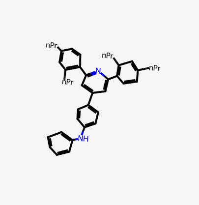 CCCc1ccc(-c2cc(-c3ccc(Nc4ccccc4)cc3)cc(-c3ccc(CCC)cc3CCC)n2)c(CCC)c1